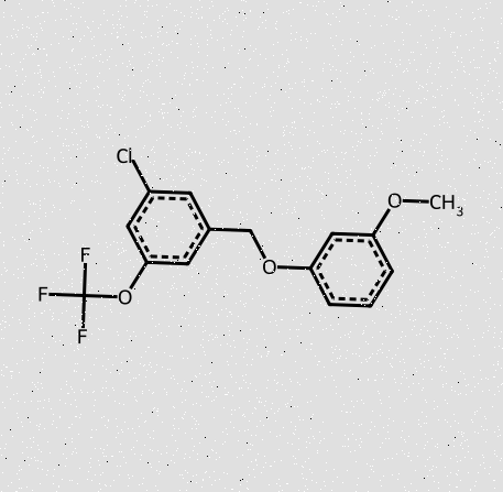 COc1cccc(OCc2cc(Cl)cc(OC(F)(F)F)c2)c1